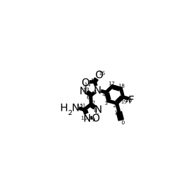 C#Cc1cc(-n2c(-c3nonc3N)noc2=O)ccc1F